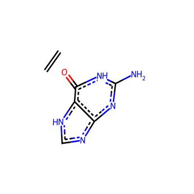 C=C.Nc1nc2nc[nH]c2c(=O)[nH]1